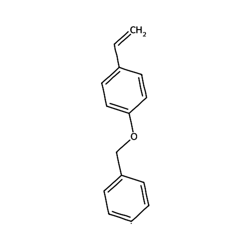 C=Cc1ccc(OCc2cc[c]cc2)cc1